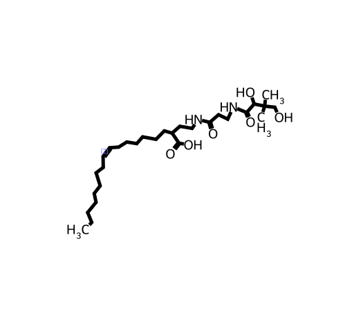 CCCCCCCC/C=C\CCCCCCC(CCNC(=O)CCNC(=O)C(O)C(C)(C)CO)C(=O)O